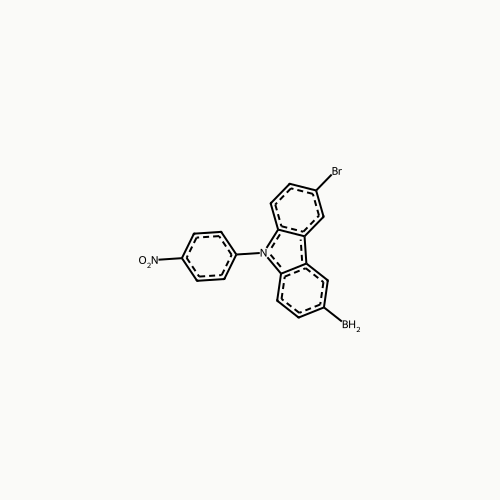 Bc1ccc2c(c1)c1cc(Br)ccc1n2-c1ccc([N+](=O)[O-])cc1